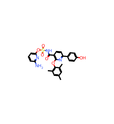 Cc1cc(C)c(Oc2nc(-c3ccc(O)cc3)ccc2C(=O)NS(=O)(=O)Oc2cccc(N)n2)c(C)c1